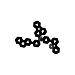 c1cc(-c2ccc3c(ccc4ccccc43)c2)cc(N(c2ccc(-c3cccc4c3oc3ccccc34)cc2)c2ccc3c4c(cccc24)-c2ccccc2-3)c1